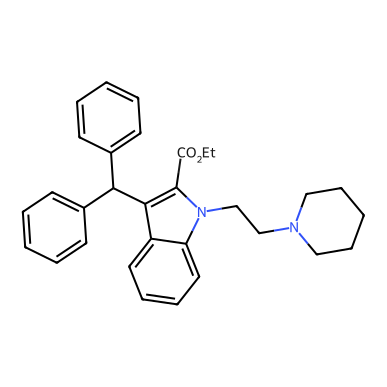 CCOC(=O)c1c(C(c2ccccc2)c2ccccc2)c2ccccc2n1CCN1CCCCC1